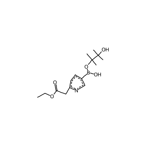 CCOC(=O)Cc1ccc(B(O)OC(C)(C)C(C)(C)O)cn1